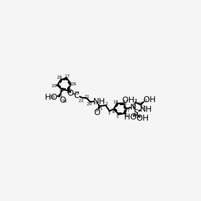 O=C(CCc1ccc(N2CC(O)NS2(O)O)c(O)c1)NCCCCOc1ccccc1C(=O)O